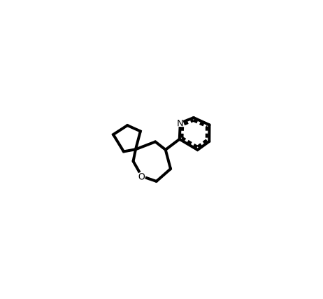 c1ccc(C2CCOCC3(CCCC3)C2)nc1